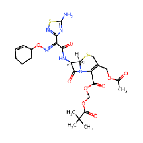 CC(=O)OCC1=C(C(=O)OCOC(=O)C(C)(C)C)N2C(=O)[C@@H](NC(=O)C(=NOC3C=CCCC3)c3nsc(N)n3)[C@H]2SC1